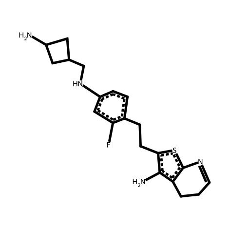 Nc1c(CCc2ccc(NCC3CC(N)C3)cc2F)sc2c1CCC=N2